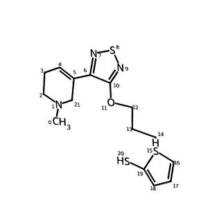 CN1CCC=C(c2nsnc2OCCC[SH]2C=CC=C2S)C1